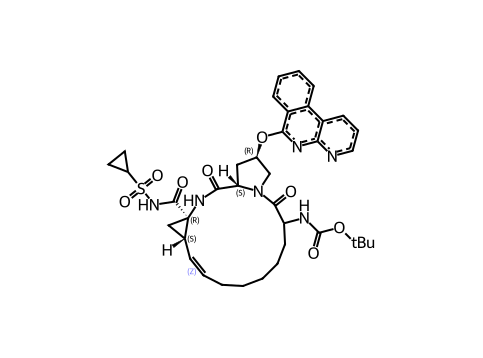 CC(C)(C)OC(=O)NC1CCCCC/C=C\[C@@H]2C[C@@]2(C(=O)NS(=O)(=O)C2CC2)NC(=O)[C@@H]2C[C@@H](Oc3nc4ncccc4c4ccccc34)CN2C1=O